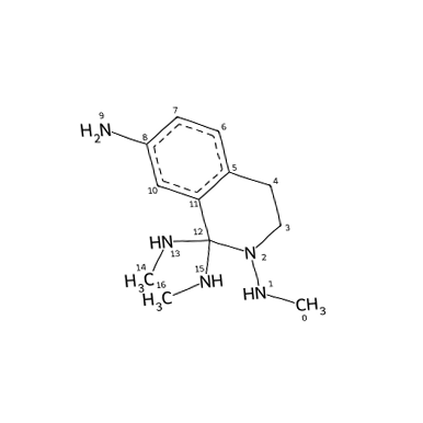 CNN1CCc2ccc(N)cc2C1(NC)NC